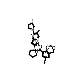 Cc1cn2nc([C@@H]3CCCCN3C(=O)c3cc(F)cc4c3OCOC4)cc2nc1N1CC[C@H](C)C1